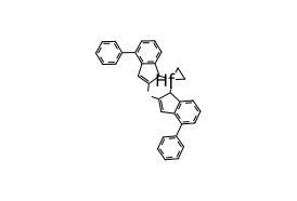 CC1=Cc2c(-c3ccccc3)cccc2[CH]1[Hf]1([CH]2C(C)=Cc3c(-c4ccccc4)cccc32)[CH2][CH2]1